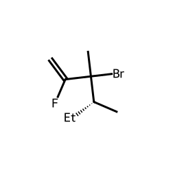 C=C(F)C(C)(Br)[C@H](C)CC